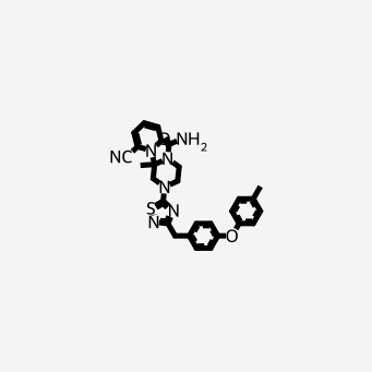 Cc1ccc(Oc2ccc(Cc3nsc(N4CCN(C(N)=O)C(C)(N5CC=CC=C5C#N)C4)n3)cc2)cc1